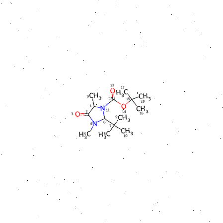 CC1C(=O)N(C)C(C(C)(C)C)N1C(=O)OC(C)(C)C